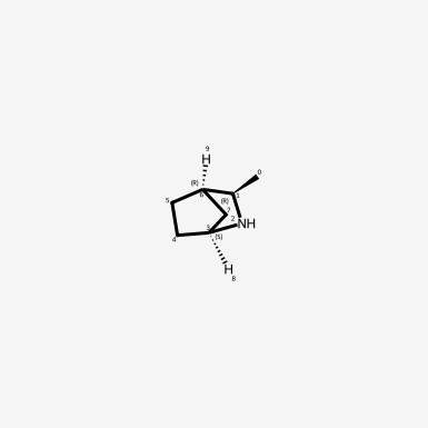 C[C@H]1N[C@H]2CC[C@@H]1C2